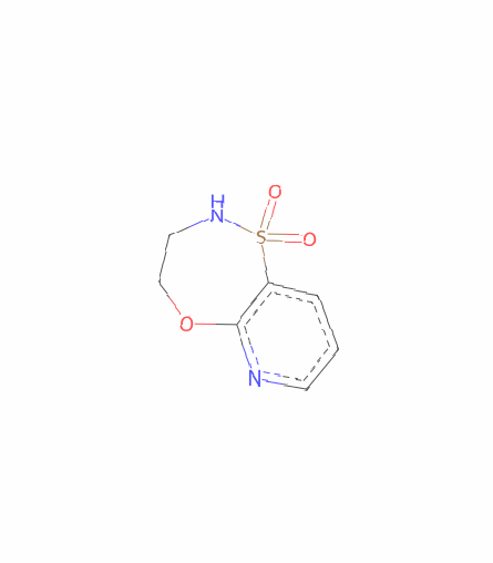 O=S1(=O)NCCOc2ncccc21